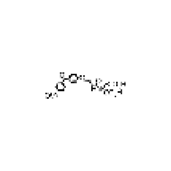 O=C=Nc1ccc(C(=O)c2ccc(OCCCC(=O)NC(CC(=O)O)C(=O)O)cc2)cc1